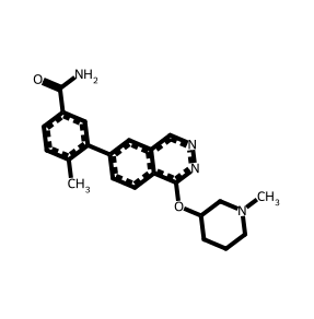 Cc1ccc(C(N)=O)cc1-c1ccc2c(OC3CCCN(C)C3)nncc2c1